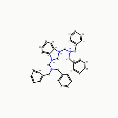 c1ccc(CN(Cc2ccccc2)CN2CN(CN(Cc3ccccc3)Cc3ccccc3)c3ccccc32)cc1